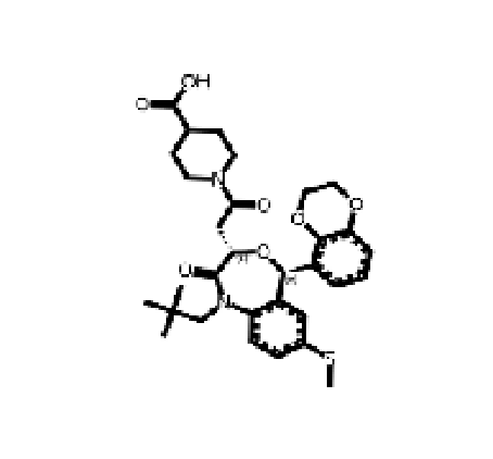 CSc1ccc2c(c1)[C@H](c1cccc3c1OCCO3)O[C@@H](CC(=O)N1CCC(C(=O)O)CC1)C(=O)N2CC(C)(C)C